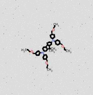 C=CCOCc1ccc(N(c2ccc(COCC=C)cc2)c2ccc3c(c2)C(C)(C)c2cc(N(c4ccc(COCC=C)cc4)c4ccc(COCC=C)cc4)ccc2-3)cc1